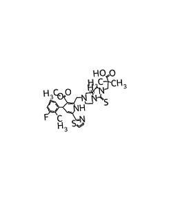 COC(=O)C1=C(CN2CCN3C(=S)N(CC(C)(C)C(=O)O)C[C@@H]3C2)NC(c2nccs2)=CC1c1cccc(F)c1C